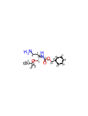 CC(C)(C)[Si](C)(C)OC[C@H](CCN)NC(=O)OCc1ccccc1